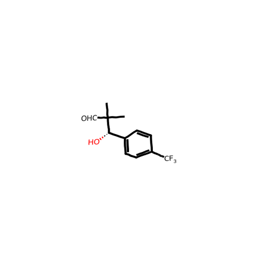 CC(C)(C=O)[C@@H](O)c1ccc(C(F)(F)F)cc1